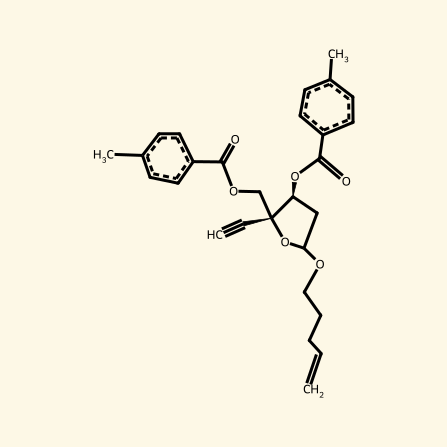 C#C[C@]1(COC(=O)c2ccc(C)cc2)OC(OCCCC=C)C[C@@H]1OC(=O)c1ccc(C)cc1